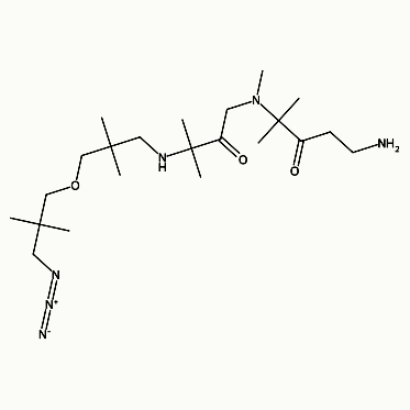 CN(CC(=O)C(C)(C)NCC(C)(C)COCC(C)(C)CN=[N+]=[N-])C(C)(C)C(=O)CCN